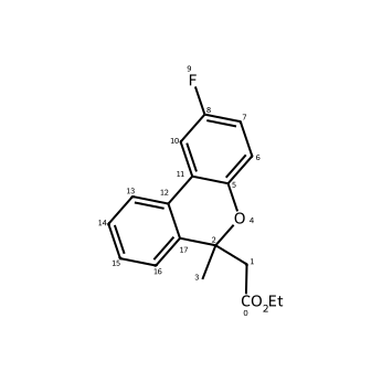 CCOC(=O)CC1(C)Oc2ccc(F)cc2-c2ccccc21